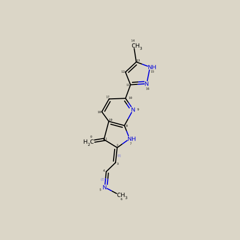 C=c1/c(=C\C=N/C)[nH]c2nc(-c3cc(C)[nH]n3)ccc12